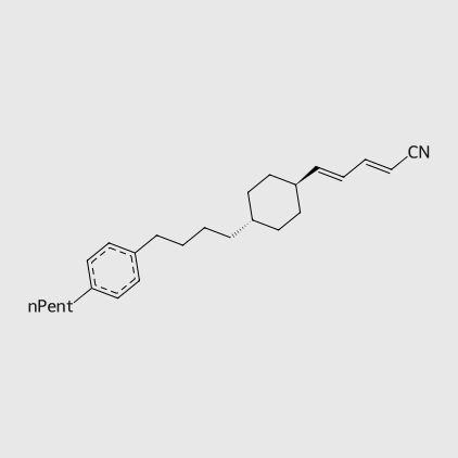 CCCCCc1ccc(CCCC[C@H]2CC[C@H](C=CC=CC#N)CC2)cc1